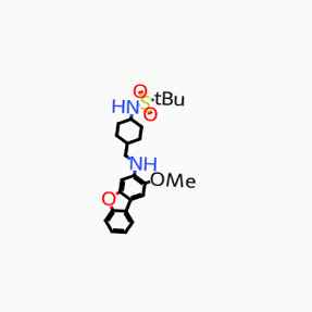 COc1cc2c(cc1NCC1CCC(NS(=O)(=O)C(C)(C)C)CC1)oc1ccccc12